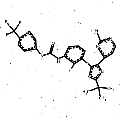 CC(C)(C)c1nc(-c2ccnc(N)n2)c(-c2cccc(NC(=O)Nc3ccc(C(F)(F)F)cc3)c2F)s1